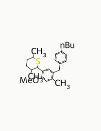 CCCCc1ccc(Cc2cc(C3SC(C)CCC3C)c(OC)cc2C)cc1